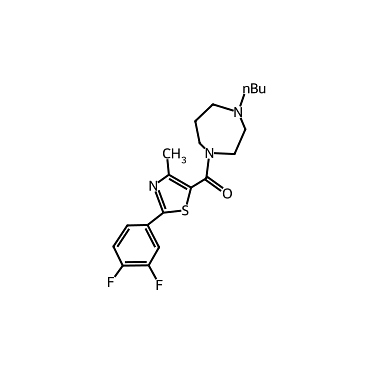 CCCCN1CCCN(C(=O)c2sc(-c3ccc(F)c(F)c3)nc2C)CC1